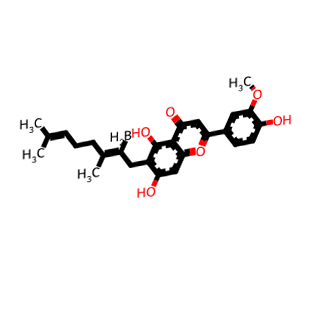 B/C(Cc1c(O)cc2oc(-c3ccc(O)c(OC)c3)cc(=O)c2c1O)=C(/C)CCC=C(C)C